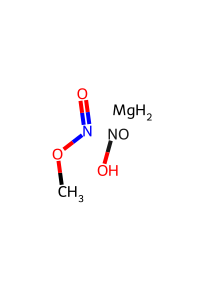 CON=O.O=NO.[MgH2]